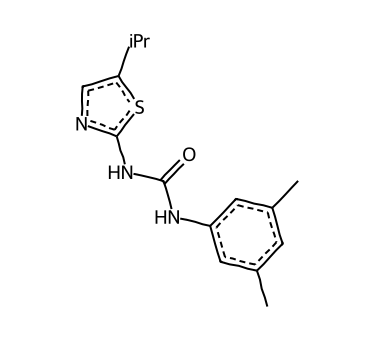 Cc1cc(C)cc(NC(=O)Nc2ncc(C(C)C)s2)c1